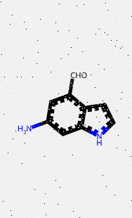 Nc1cc(C=O)c2cc[nH]c2c1